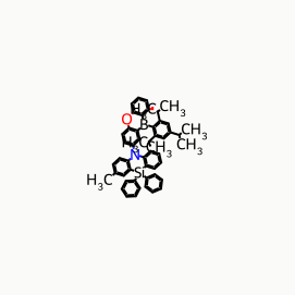 Cc1ccc2c(c1)[Si](c1ccccc1)(c1ccccc1)c1ccccc1N2c1ccc2c(c1)B(c1c(C(C)C)cc(C(C)C)cc1C(C)C)c1ccccc1O2